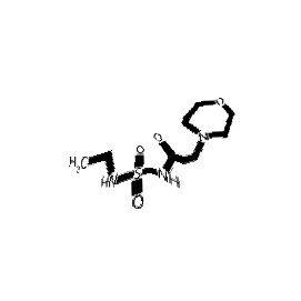 CCNS(=O)(=O)NC(=O)CN1CCOCC1